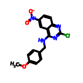 COc1ccc(CNc2nc(Cl)nc3ccc([N+](=O)[O-])cc23)cc1